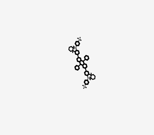 CC12CCCCC1(C)N(c1ccc([Si](C)(C)C)cc1)c1ccc(-c3ccc4c(-c5ccccc5)c5cc(-c6ccc7c(c6)C6(C)CCCCC6(C)N7c6ccc([Si](C)(C)C)cc6)ccc5c(-c5ccccc5)c4c3)cc12